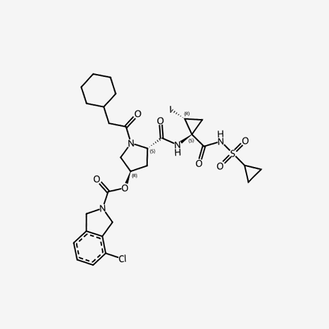 O=C(N[C@]1(C(=O)NS(=O)(=O)C2CC2)C[C@H]1I)[C@@H]1C[C@@H](OC(=O)N2Cc3cccc(Cl)c3C2)CN1C(=O)CC1CCCCC1